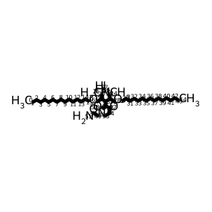 CCCCCCCCCCCCCCCCOC(=O)C1=C(C)N=C(C)C(C(=O)OCCCCCCCCCCCCCCCC)C1C1=CN(CC(N)=O)CC=C1.I.I